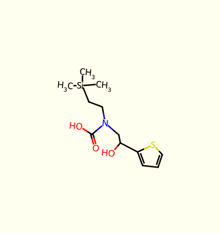 C[Si](C)(C)CCN(CC(O)c1cccs1)C(=O)O